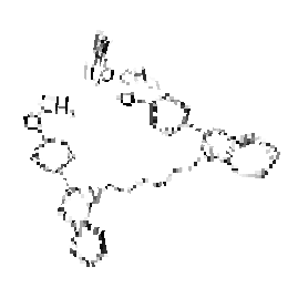 COc1ccc(-c2c[n+]3ccccc3n2CCCCCCn2c(-c3ccc(OC)cc3)c[n+]3ccccc23)cc1.O.[Br-].[Br-]